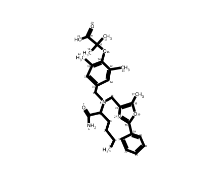 CCCCC(C(N)=O)N(Cc1cc(C)c(OC(C)(C)C(=O)O)c(C)c1)Cc1nc(-c2ccccc2)oc1C